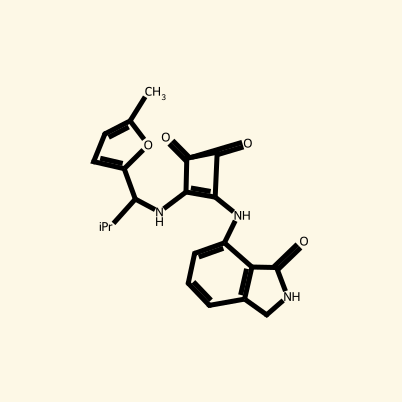 Cc1ccc(C(Nc2c(Nc3cccc4c3C(=O)NC4)c(=O)c2=O)C(C)C)o1